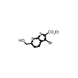 CCOC(=O)c1sc2nc(CO)ccc2c1Br